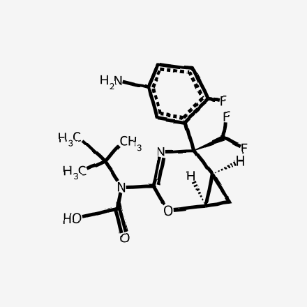 CC(C)(C)N(C(=O)O)C1=N[C@@](c2cc(N)ccc2F)(C(F)F)[C@H]2C[C@H]2O1